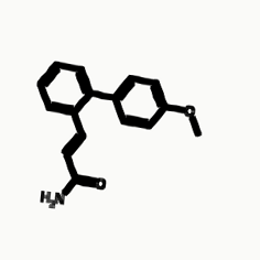 COc1ccc(-c2ccccc2/C=C/C(N)=O)cc1